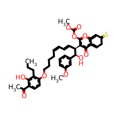 CCCc1c(OCCCC/C=C\C=C\[C@@H](c2c(OC(=O)OC)oc3c(c2=O)=CCC(=S)C=3)[C@@H](O)c2cccc(OC)c2)ccc(C(C)=O)c1O